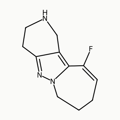 FC1=CCCCn2nc3c(c21)CNCC3